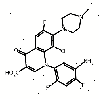 CN1CCN(c2c(F)cc3c(=O)c(C(=O)O)cn(-c4cc(N)c(F)cc4F)c3c2Cl)CC1